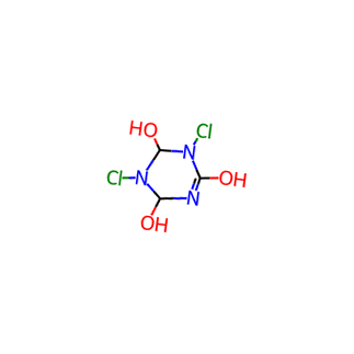 OC1=NC(O)N(Cl)C(O)N1Cl